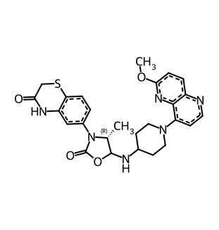 COc1ccc2nccc(N3CCC(NC4OC(=O)N(c5ccc6c(c5)NC(=O)CS6)[C@@H]4C)CC3)c2n1